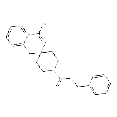 CC(=O)C1=CC2(CCN(C(=O)OCc3ccccc3)CC2)Cc2ccccc21